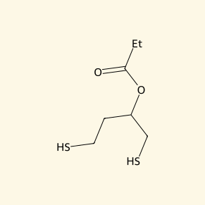 CCC(=O)OC(CS)CCS